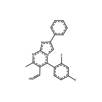 Cc1nc2nc(-c3ccccc3)cn2c(-c2ccc(F)cc2F)c1C=N